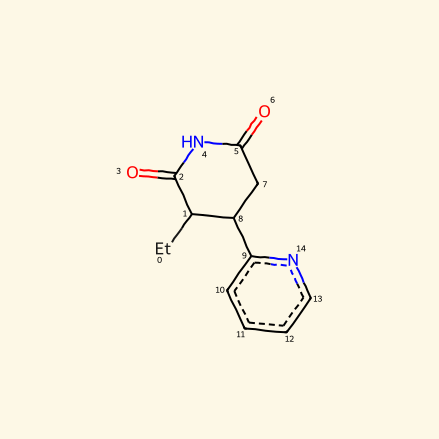 CCC1C(=O)NC(=O)CC1c1ccccn1